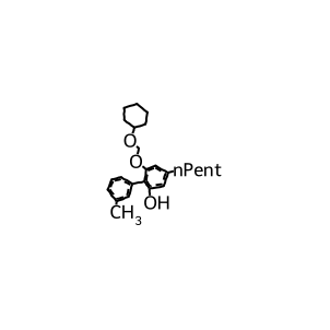 CCCCCc1cc(O)c(-c2cccc(C)c2)c(OCOC2CCCCC2)c1